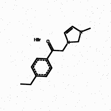 Br.CCc1ccc(C(=O)CN2C=CN(C)C2)cc1